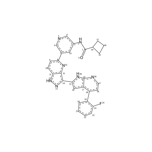 O=C(Nc1cncc(-c2ccc3[nH]nc(-c4cc5c(-c6ccccc6F)ccnc5[nH]4)c3n2)c1)C1CCC1